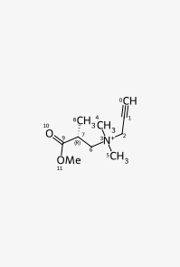 C#CC[N+](C)(C)C[C@@H](C)C(=O)OC